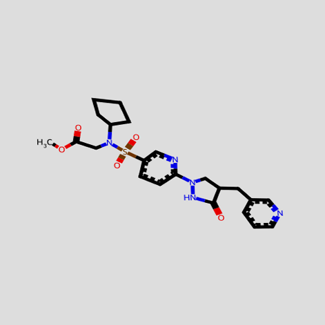 COC(=O)CN(C1CCCC1)S(=O)(=O)c1ccc(N2CC(Cc3cccnc3)C(=O)N2)nc1